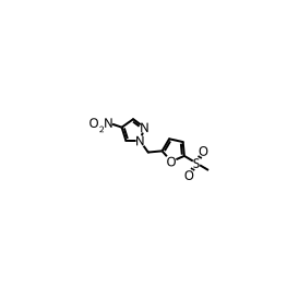 CS(=O)(=O)c1ccc(Cn2cc([N+](=O)[O-])cn2)o1